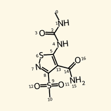 CNC(=O)Nc1snc(S(C)(=O)=O)c1C(N)=O